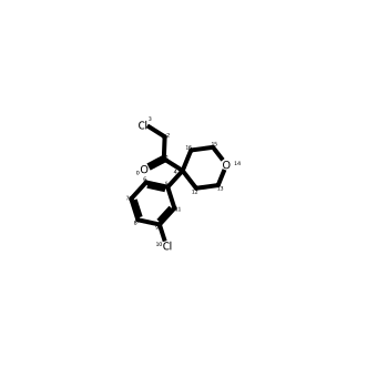 O=C(CCl)C1(c2cccc(Cl)c2)CCOCC1